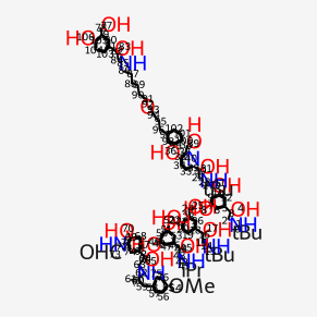 CC(C)(C)NCC(O)c1cc(O)cc(O)c1.CC(C)(C)NCC(O)c1ccc(O)c(CO)c1.CC(C)(C)NCC(O)c1ccc(O)c(CO)n1.CC(C)NCC(O)c1cc(O)cc(O)c1.COc1ccc(C[C@@H](C)NC[C@H](O)c2ccc(O)c(NC=O)c2)cc1.OCc1cc(C(O)CNCCCCCCOCCCCc2ccccc2)ccc1O